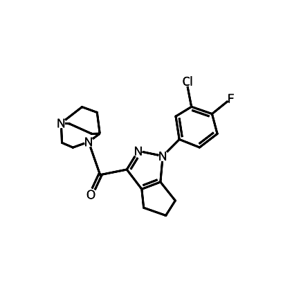 O=C(c1nn(-c2ccc(F)c(Cl)c2)c2c1CCC2)N1CCN2CCC1CC2